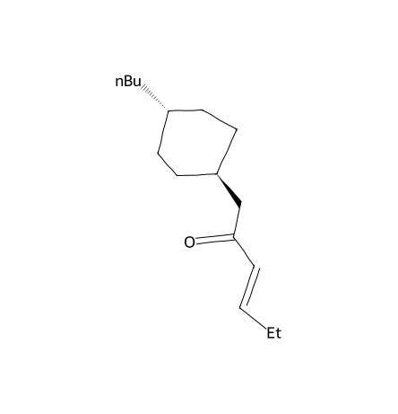 CCC=CC(=O)C[C@H]1CC[C@H](CCCC)CC1